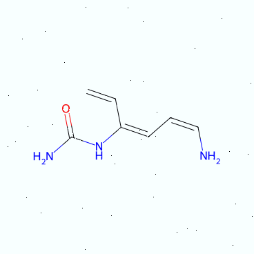 C=C/C(=C\C=C/N)NC(N)=O